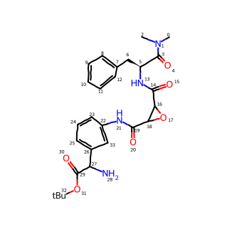 CN(C)C(=O)[C@H](Cc1ccccc1)NC(=O)C1OC1C(=O)Nc1cccc(C(N)C(=O)OC(C)(C)C)c1